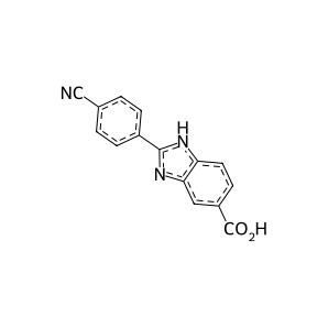 N#Cc1ccc(-c2nc3cc(C(=O)O)ccc3[nH]2)cc1